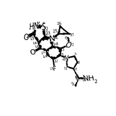 COc1c(N2CCC([C@H](C)N)C2)c(F)cc2c(=O)c3c(=O)[nH]sc3n(C3CC3)c12